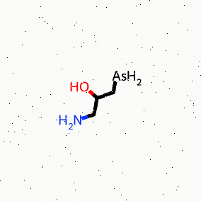 NCC(O)C[AsH2]